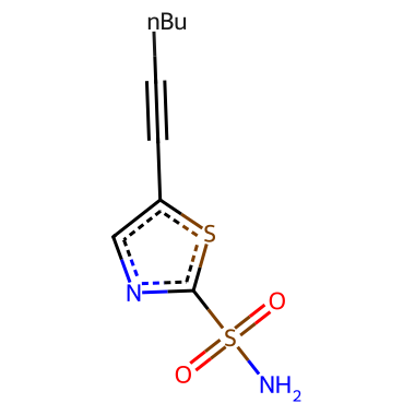 CCCCC#Cc1cnc(S(N)(=O)=O)s1